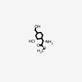 COC(=O)[C@@H](N)C1CCC(CO)CC1.Cl